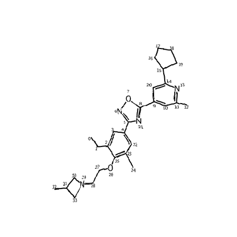 CCc1cc(-c2noc(-c3cc(C)nc(C4CCCC4)c3)n2)cc(C)c1OCCN1CC(C)C1